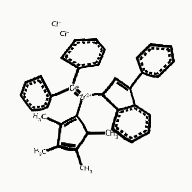 CC1=C(C)C(C)[C]([Zr+2]([CH]2C=C(c3ccccc3)c3ccccc32)=[Ge]([c]2ccccc2)[c]2ccccc2)=C1C.[Cl-].[Cl-]